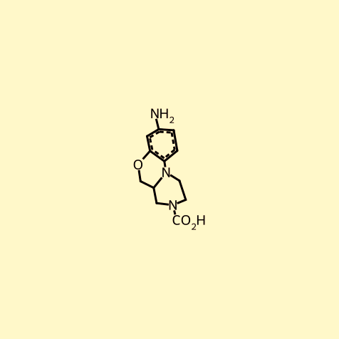 Nc1ccc2c(c1)OCC1CN(C(=O)O)CCN21